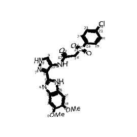 COc1cc2nc(-c3n[nH]cc3NC(=O)CS(=O)(=O)c3ccc(Cl)cc3)[nH]c2cc1OC